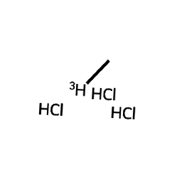 Cl.Cl.Cl.[3H]C